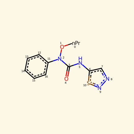 CCCON(C(=O)Nc1cnns1)c1ccccc1